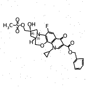 CS(=O)(=O)OC[C@@]1(O)C[C@H]2COc3c(c(F)cc4c(=O)c(C(=O)OCc5ccccc5)cn(C5CC5)c34)N2C1